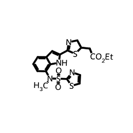 CCOC(=O)CC1CN=C(c2cc3cccc(N(C)S(=O)(=O)c4nccs4)c3[nH]2)S1